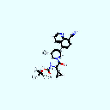 C[C@@H]1C[C@H](c2ccc(C#N)c3ncccc23)CN(C(=O)C(NC(=O)OC(C)(C)C)C2CC2)C1